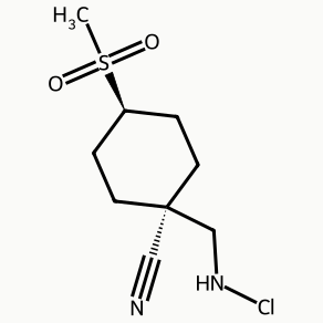 CS(=O)(=O)[C@H]1CC[C@@](C#N)(CNCl)CC1